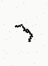 C=CCCCN(C)CCCC(=C)C1CCC(CCCC(C)CCCC(C)C)CC1